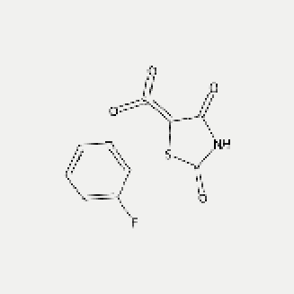 Fc1ccccc1.O=C1NC(=O)C(=S(=O)=O)S1